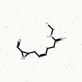 O=CC1OC1C/C=C\CCC(=O)OCI